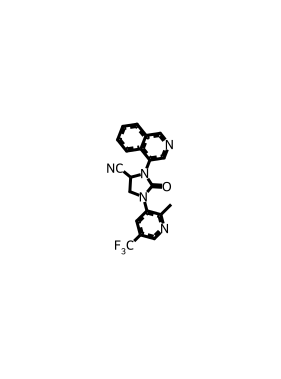 Cc1ncc(C(F)(F)F)cc1N1CC(C#N)N(c2cncc3ccccc23)C1=O